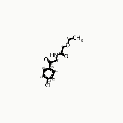 CCOCC(=O)NCC(=O)c1ccc(Cl)cc1